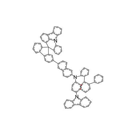 c1ccc(-c2ccccc2-c2ccccc2N(c2ccc(-n3c4ccccc4c4ccccc43)cc2)c2ccc3cc(-c4ccc5c(c4)C4(c6ccccc6-5)c5ccccc5-n5c6ccccc6c6cccc4c65)ccc3c2)cc1